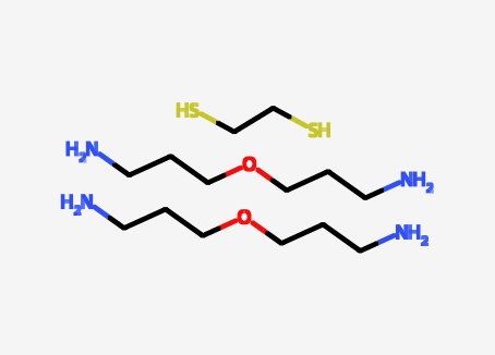 NCCCOCCCN.NCCCOCCCN.SCCS